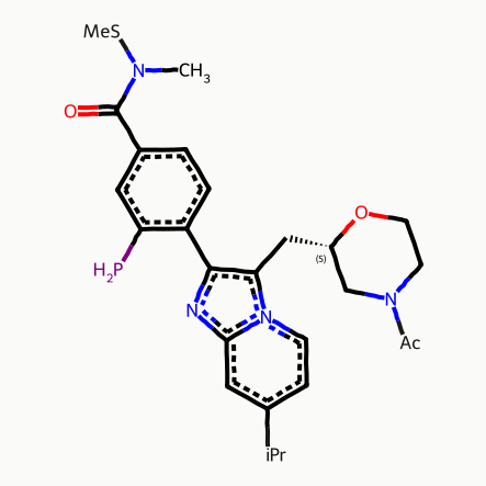 CSN(C)C(=O)c1ccc(-c2nc3cc(C(C)C)ccn3c2C[C@H]2CN(C(C)=O)CCO2)c(P)c1